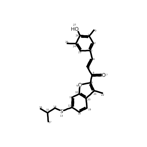 Cc1cc(/C=C/C(=O)c2oc3cc(SCC(C)C)ccc3c2C)cc(C)c1O